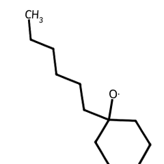 CCCCCCC1([O])CCCCC1